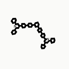 c1ccc(-c2cc(-c3ccccc3)nc(-c3ccc(-c4ccc(-c5cccc(-c6ccc(-c7ccc(-c8cc(-c9ccccc9)nc(-c9ccccc9)c8)cc7)cc6)c5)cc4)cc3)c2)cc1